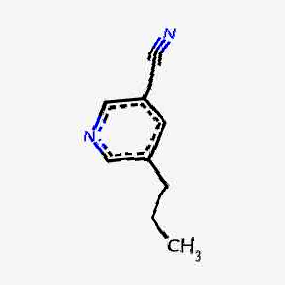 CCCc1cncc(C#N)c1